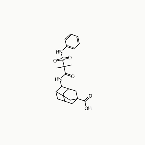 CC(C)(C(=O)NC1C2CC3CC1CC(C(=O)O)(C3)C2)S(=O)(=O)Nc1ccccc1